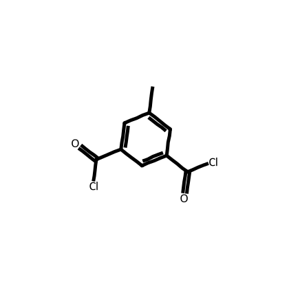 Cc1cc(C(=O)Cl)cc(C(=O)Cl)c1